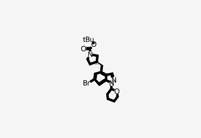 CC(C)(C)OC(=O)N1CC[C@H](Cc2cc(Br)cc3c2cnn3C2CCCCO2)C1